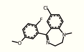 COc1ccc(F)c(C2=NCCN(C)c3ccc(Cl)cc32)c1